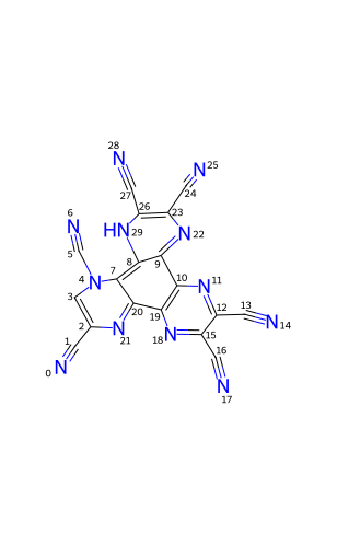 N#CC1=CN(C#N)c2c3c(c4nc(C#N)c(C#N)nc4c2=N1)=NC(C#N)=C(C#N)N3